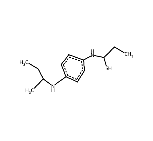 CCC(C)Nc1ccc(NC(S)CC)cc1